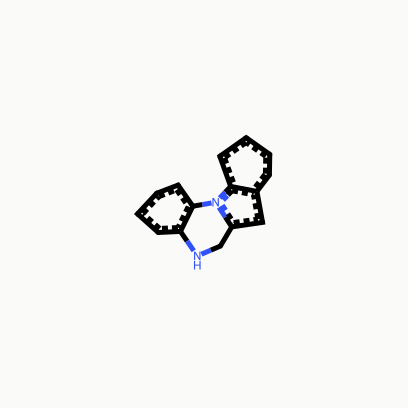 c1ccc2c(c1)NCc1cc3ccccc3n1-2